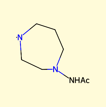 CC(=O)NN1CCC[N]CC1